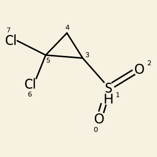 O=[SH](=O)C1CC1(Cl)Cl